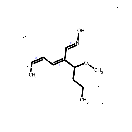 C\C=C/C=C(\C=N\O)C(CCC)OC